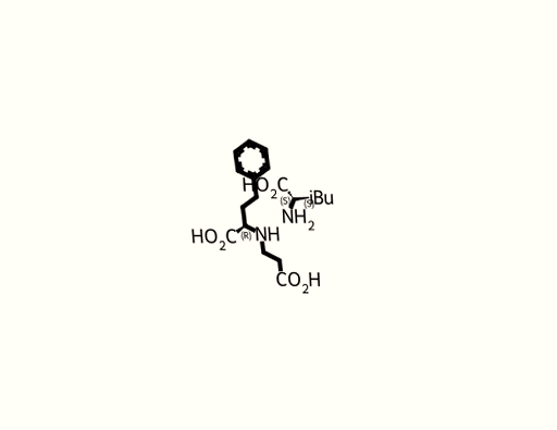 CC[C@H](C)[C@H](N)C(=O)O.O=C(O)CCN[C@H](CCc1ccccc1)C(=O)O